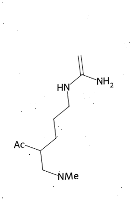 C=C(N)NCCCC(CNC)C(C)=O